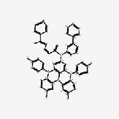 C=C(/C=C\C=C(/C)c1ccccc1)N(c1cccc(-c2ccccc2)c1)c1cc2c3c(c1)N(c1ccc(C)cc1)c1ccc(C)cc1B3c1cc(C)ccc1N2c1ccc(C)cc1